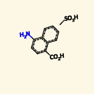 CS(=O)(=O)O.Nc1ccc(C(=O)O)c2ccccc12